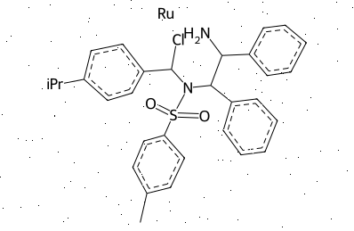 Cc1ccc(S(=O)(=O)N(C(Cl)c2ccc(C(C)C)cc2)C(c2ccccc2)C(N)c2ccccc2)cc1.[Ru]